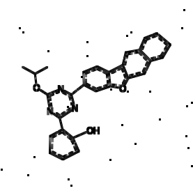 CC(C)Oc1nc(-c2ccc3c(c2)oc2cc4ccccc4cc23)nc(-c2ccccc2O)n1